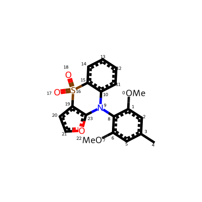 COc1cc(C)cc(OC)c1N1c2ccccc2S(=O)(=O)c2ccoc21